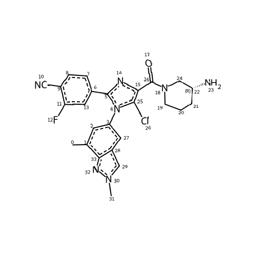 Cc1cc(-n2c(-c3ccc(C#N)c(F)c3)nc(C(=O)N3CCC[C@@H](N)C3)c2Cl)cc2cn(C)nc12